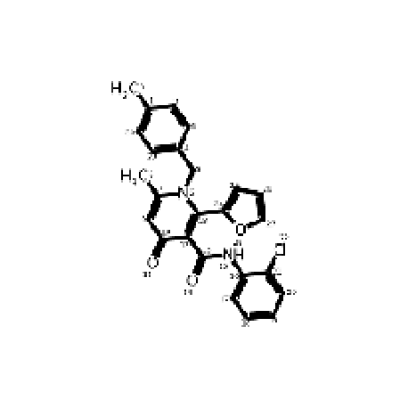 Cc1ccc(Cn2c(C)cc(=O)c(C(=O)Nc3ccccc3Cl)c2-c2ccco2)cc1